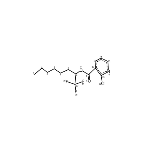 CCCCCCC(OC(=O)c1cccnc1Cl)C(F)(F)F